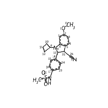 COc1ccc2c(c1)N(C1CCC1)C(c1ccc(NS(C)(=O)=O)cc1)C2C#N